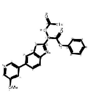 COc1cncc(-c2ccc3nc(N(OC(=O)Cl)C(=O)Oc4ccccc4)sc3c2)c1